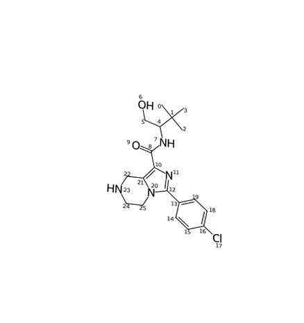 CC(C)(C)C(CO)NC(=O)c1nc(-c2ccc(Cl)cc2)n2c1CNCC2